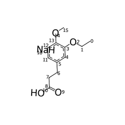 CCOc1cc(CCC(=O)O)ccc1OC.[NaH]